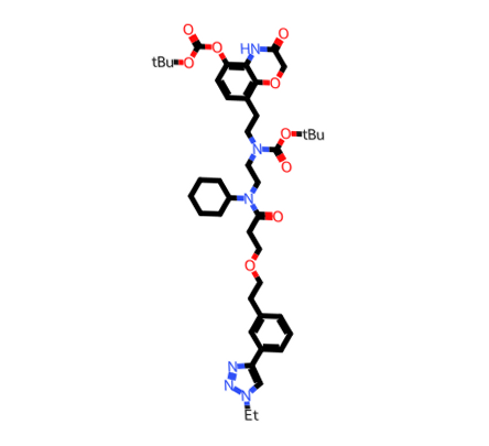 CCn1cc(-c2cccc(CCOCCC(=O)N(CCN(CCc3ccc(OC(=O)OC(C)(C)C)c4c3OCC(=O)N4)C(=O)OC(C)(C)C)C3CCCCC3)c2)nn1